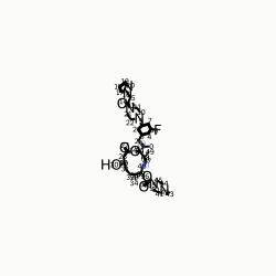 C/C(=C\c1cc(F)cc(N2CCN(C(=O)Cn3cccn3)CC2)c1)[C@H]1OC(=O)C[C@H](O)CC[C@H](C)[C@@H](OC(=O)N2CCN(C)CC2)/C=C/[C@@H]1C